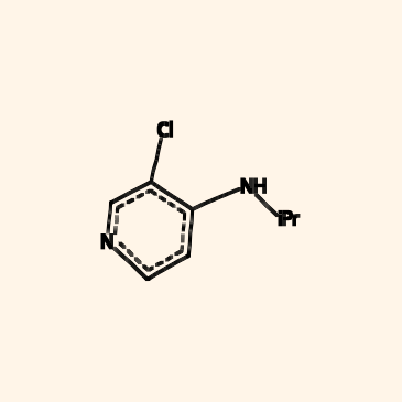 CC(C)Nc1ccncc1Cl